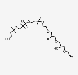 C=CCOCC(O)COCC(O)COCCOC(C)(C)CCOC(C)(CC)C(C)(C)COC(C)(C)CCO